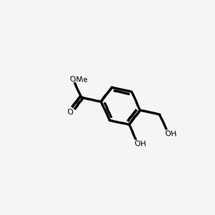 COC(=O)c1ccc(CO)c(O)c1